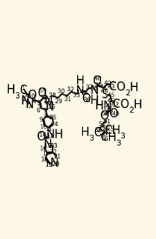 Cc1nnc(-c2cc(-c3ccc(NC(=O)N4Cc5ccncc5C4)cc3)nn(CCCCCCNC(=O)CNC(=O)C(CC(=O)O)SC[C@H](NC(=O)OCC[Si](C)(C)C)C(=O)O)c2=O)o1